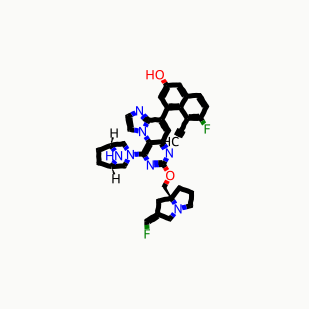 C#Cc1c(F)ccc2cc(O)cc(-c3cc4nc(OC[C@@]56CCCN5C/C(=C\F)C6)nc(N5C[C@H]6CC[C@@H](C5)N6)c4n4ccnc34)c12